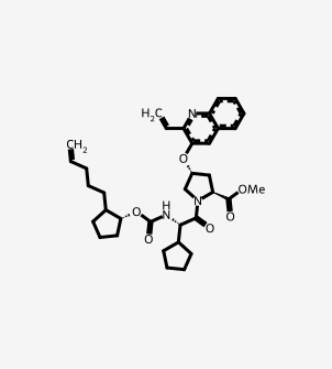 C=CCCCC1CCC[C@H]1OC(=O)N[C@H](C(=O)N1C[C@H](Oc2cc3ccccc3nc2C=C)C[C@H]1C(=O)OC)C1CCCC1